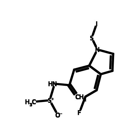 C=C(/C=c1\c(=C/CF)ccn1SI)N[S+](C)[O-]